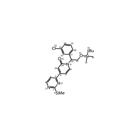 CSc1nccc(-c2ccn(C(CO[Si](C)(C)C(C)(C)C)c3cccc(Cl)c3)c(=O)c2)n1